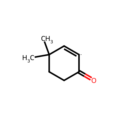 CC1(C)C=[C]C(=O)CC1